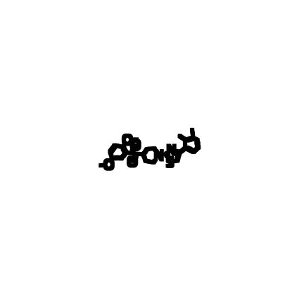 COc1ccc(OC)c(S(=O)(=O)C2CCN(c3nc(-c4cccc(C)c4C)cs3)CC2)c1